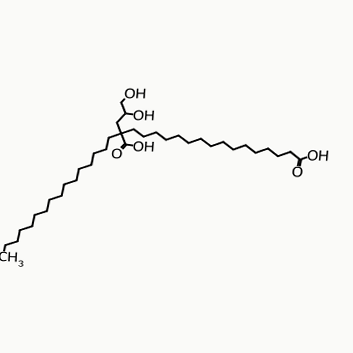 CCCCCCCCCCCCCCCCC(CCCCCCCCCCCCCCCC(=O)O)(CC(O)CO)C(=O)O